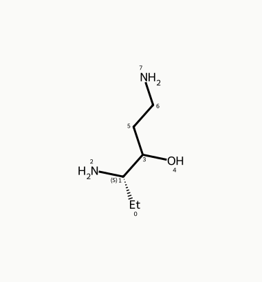 CC[C@H](N)C(O)CCN